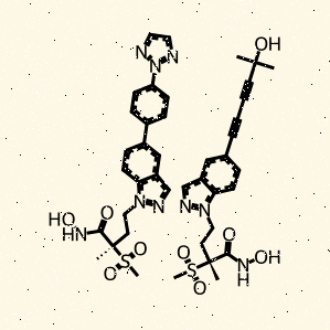 CC(C)(O)C#CC#Cc1ccc2c(cnn2CC[C@](C)(C(=O)NO)S(C)(=O)=O)c1.C[C@@](CCn1ncc2cc(-c3ccc(-n4nccn4)cc3)ccc21)(C(=O)NO)S(C)(=O)=O